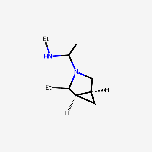 CCNC(C)N1C[C@H]2C[C@H]2C1CC